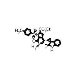 CCOC(=O)c1cc2c([C@@H]3C[C@@]34C(=O)Nc3ccccc34)cn(C)c(=O)c2n1S(=O)(=O)c1ccc(C)cc1